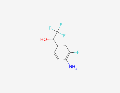 Nc1ccc(C(O)C(F)(F)F)cc1F